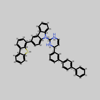 C1=CC(c2cccc(-c3ccc(-c4ccccc4)cc3)c2)NC(n2c3ccccc3c3cc(-c4cccc5c4sc4ccccc45)ccc32)N1